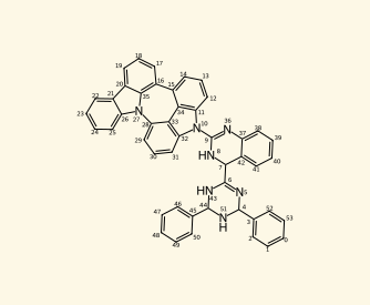 c1ccc(C2N=C(C3NC(n4c5cccc6c7cccc8c9ccccc9n(c9cccc4c9c65)c78)=Nc4ccccc43)NC(c3ccccc3)N2)cc1